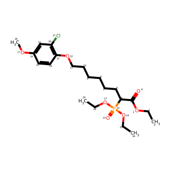 CCOC(=O)C(CCCCCCOc1ccc(OC)cc1Cl)P(=O)(OCC)OCC